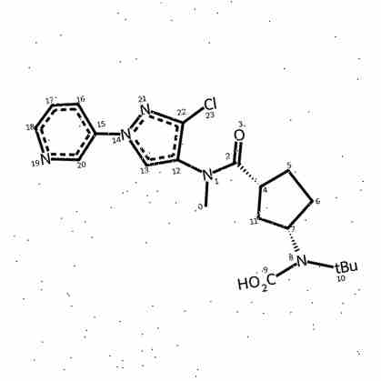 CN(C(=O)[C@@H]1CC[C@H](N(C(=O)O)C(C)(C)C)C1)c1cn(-c2cccnc2)nc1Cl